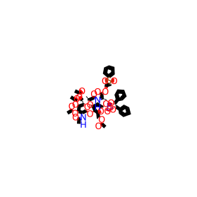 CC(=O)NC1C(OC(C)=O)[C@H](OC(C)=O)[C@H](COC(C)=O)O[C@H]1O[C@@H]1C(COC(C)=O)O[C@H](OP(=O)(OCc2ccccc2)OCc2ccccc2)C[C@H]1O[C@H](C)C(=O)N[C@@H](C)C(=O)OCCS(=O)(=O)c1ccccc1